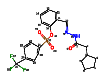 O=C(CC1CCCC1)NN=Cc1ccccc1OS(=O)(=O)c1ccc(C(F)(F)F)cc1